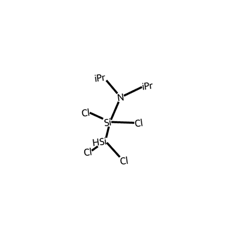 CC(C)N(C(C)C)[Si](Cl)(Cl)[SiH](Cl)Cl